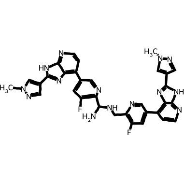 Cn1cc(-c2nc3c(-c4cnc(CNC(N)c5ncc(-c6ccnc7[nH]c(-c8cnn(C)c8)nc67)cc5F)c(F)c4)ccnc3[nH]2)cn1